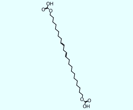 O=C(O)OCCCCCCCCC=CCC=CCCCCCCCCCCCOC(=O)O